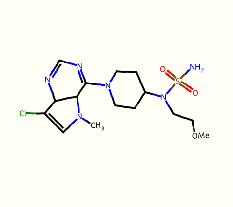 COCCN(C1CCN(C2=NC=NC3C(Cl)=CN(C)C23)CC1)S(N)(=O)=O